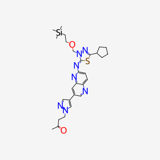 CC(=O)CCn1cc(-c2cnc3ccc(/N=c4\sc(C5CCCC5)nn4COCC[Si](C)(C)C)nc3c2)cn1